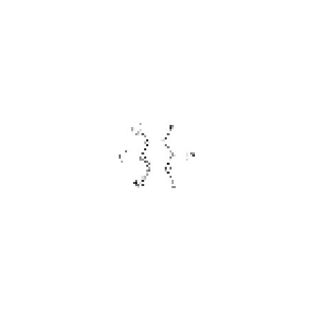 CC1=C(C)C(P)C(F)C(C#N)C1F